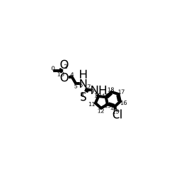 CC(=O)OCCNC(=S)NC1CCc2c(Cl)cccc21